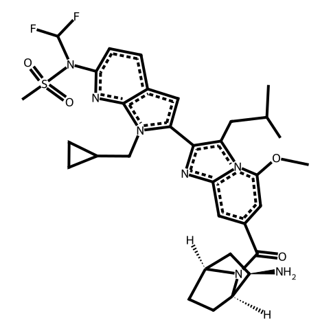 COc1cc(C(=O)N2[C@H]3CC[C@@H]2[C@H](N)C3)cc2nc(-c3cc4ccc(N(C(F)F)S(C)(=O)=O)nc4n3CC3CC3)c(CC(C)C)n12